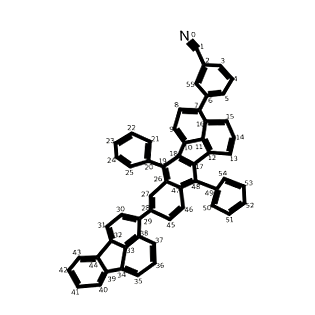 N#Cc1cccc(-c2ccc3c4c(cccc24)-c2c-3c(-c3ccccc3)c3cc(-c4ccc5c6c(cccc46)-c4ccccc4-5)ccc3c2-c2ccccc2)c1